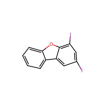 Ic1cc(I)c2oc3ccccc3c2c1